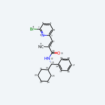 N#C/C(=C\c1cccc(Br)n1)C(=O)N[C@H](c1ccccc1)C1CCCCC1